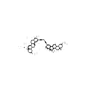 COC(=O)C12CCC(C)(C)CC1C1C(=O)C=C3C4(C)C=C(C#CCC#CC5=CC6(C)C7=CC(=O)C8C9CC(C)(C)CCC9(C(=O)OC)CCC8(C)C7(C)CCC6C(C)(C)C5=O)C(=O)C(C)(C)C4CCC3(C)C1(C)CC2